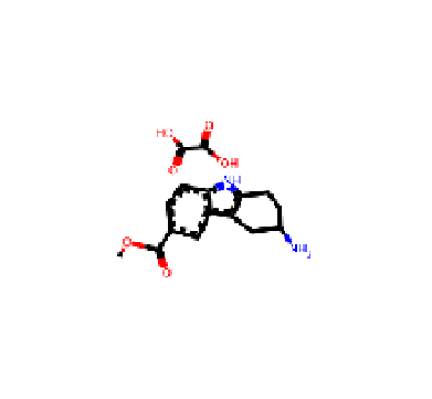 COC(=O)c1ccc2[nH]c3c(c2c1)CC(N)CC3.O=C(O)C(=O)O